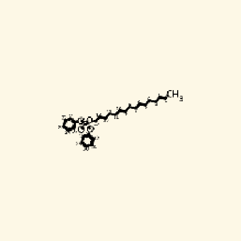 CCCCCCCCCCCCCCCCOP(=O)(Oc1ccccc1)Oc1ccccc1